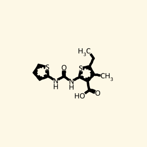 CCc1sc(NC(=O)Nc2cccs2)c(C(=O)O)c1C